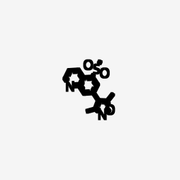 Cc1noc(C)c1-c1cc(S(C)(=O)=O)c2cccnc2c1